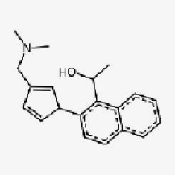 CC(O)c1c(C2C=CC(CN(C)C)=C2)ccc2ccccc12